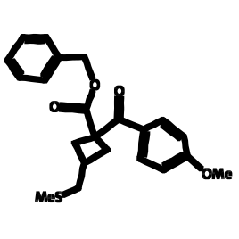 COc1ccc(C(=O)C2(C(=O)OCc3ccccc3)CC(CSC)C2)cc1